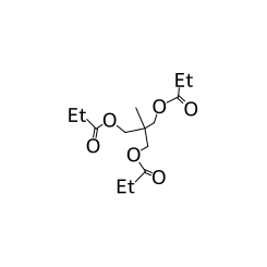 CCC(=O)OCC(C)(COC(=O)CC)COC(=O)CC